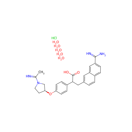 CC(=N)N1CC[C@H](Oc2ccc(C(Cc3ccc4ccc(C(=N)N)cc4c3)C(=O)O)cc2)C1.Cl.O.O.O.O.O